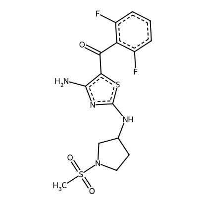 CS(=O)(=O)N1CCC(Nc2nc(N)c(C(=O)c3c(F)cccc3F)s2)C1